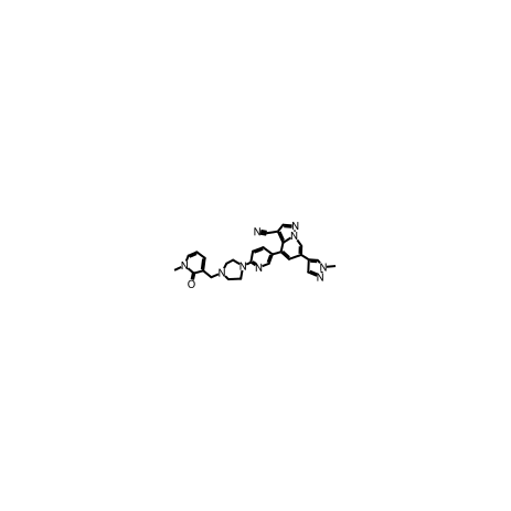 Cn1cc(-c2cc(-c3ccc(N4CCN(Cc5cccn(C)c5=O)CC4)nc3)c3c(C#N)cnn3c2)cn1